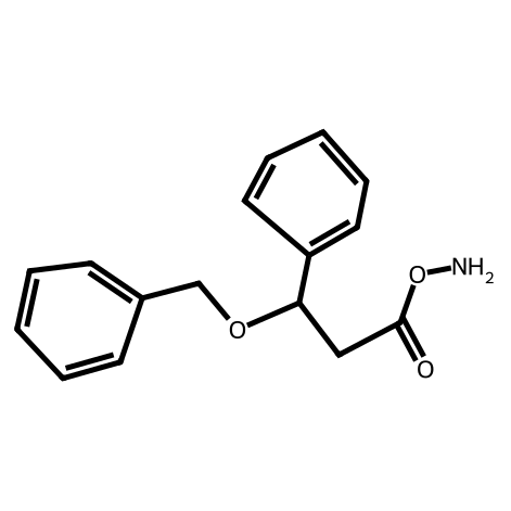 NOC(=O)CC(OCc1ccccc1)c1ccccc1